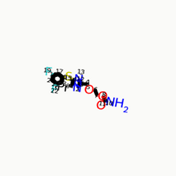 CC(C)c1nc(COCCOC(N)=O)n(C)c1Sc1cc(F)cc(F)c1